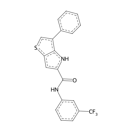 O=C(Nc1cccc(C(F)(F)F)c1)c1cc2scc(-c3ccccc3)c2[nH]1